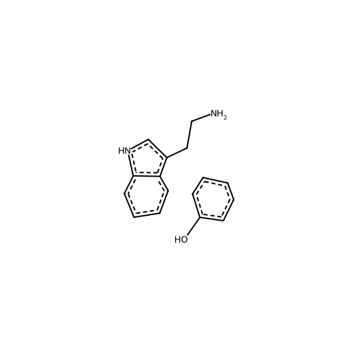 NCCc1c[nH]c2ccccc12.Oc1ccccc1